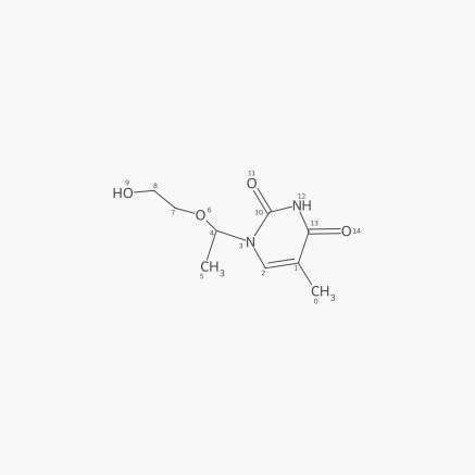 Cc1cn(C(C)OCCO)c(=O)[nH]c1=O